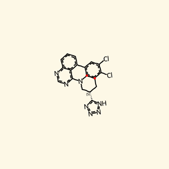 Clc1ccc(-c2cccc3ncnc(N4CCC[C@H](c5nnn[nH]5)C4)c23)cc1Cl